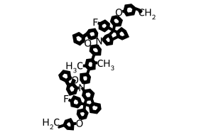 C=Cc1ccc(Oc2ccc(C3(c4ccc(F)cc4)c4ccccc4-c4ccc(N(c5ccc(-c6cc(C)c(-c7ccc(N(c8ccc9c(c8)C(c8ccc(F)cc8)(c8ccc(Oc%10ccc(C=C)cc%10)cc8)c8ccccc8-9)c8cccc9c8oc8ccccc89)cc7)cc6C)cc5)c5cccc6c5oc5ccccc56)cc43)cc2)cc1